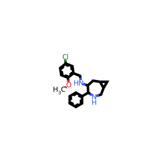 COc1ccc(Cl)cc1CNC1CC2CC2CNC1c1ccccc1